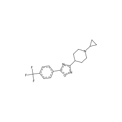 FC(F)(F)c1ccc(-c2nc(C3CCN(C4CC4)CC3)no2)cc1